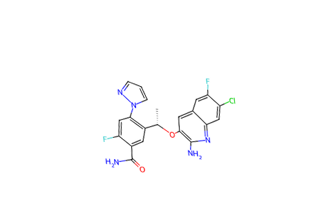 C[C@H](Oc1cc2cc(F)c(Cl)cc2nc1N)c1cc(C(N)=O)c(F)cc1-n1cccn1